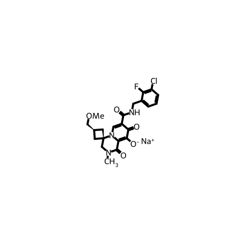 COC[C@H]1C[C@@]2(CN(C)C(=O)c3c([O-])c(=O)c(C(=O)NCc4cccc(Cl)c4F)cn32)C1.[Na+]